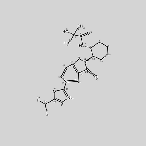 CC(C)(O)C(=O)N[C@@H]1CCCC[C@H]1N1Cc2ccc(-c3nnc(C(F)F)o3)cc2C1=O